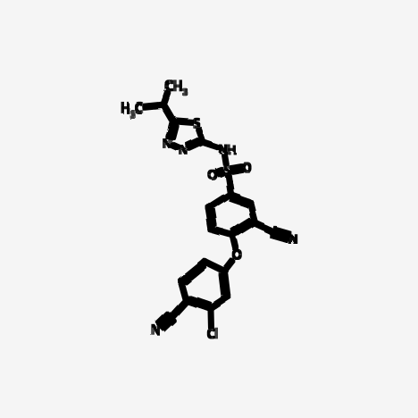 CC(C)c1nnc(NS(=O)(=O)c2ccc(Oc3ccc(C#N)c(Cl)c3)c(C#N)c2)s1